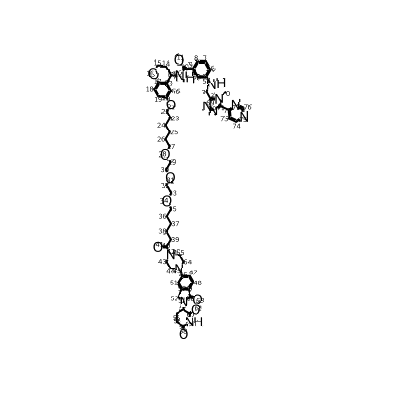 Cn1c(CNc2cccc(C(=O)N[C@@H]3CCOc4ccc(OCCCCCCOCCOCCOCCCCCC(=O)N5CCN(c6ccc7c(c6)CN(C6CCC(=O)NC6=O)C7=O)CC5)cc43)c2)nnc1-c1ccncn1